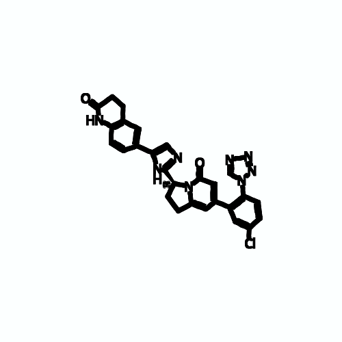 O=C1CCc2cc(-c3cnc([C@@H]4CCc5cc(-c6cc(Cl)ccc6-n6cnnn6)cc(=O)n54)[nH]3)ccc2N1